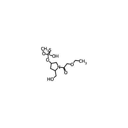 CCOCC(=O)N1CC(OP(O)(=S)OC)CC1CO